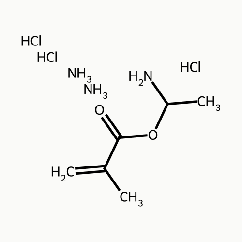 C=C(C)C(=O)OC(C)N.Cl.Cl.Cl.N.N